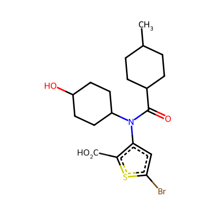 CC1CCC(C(=O)N(c2cc(Br)sc2C(=O)O)C2CCC(O)CC2)CC1